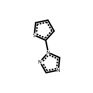 c1csc(-n2cncn2)c1